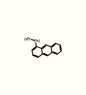 CCCPc1cccc2cc3ccccc3cc12